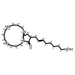 CCCCCCCCCCCCCCCC=CCC1C/C2=N\CCCNCCCNCCCN2C1=O